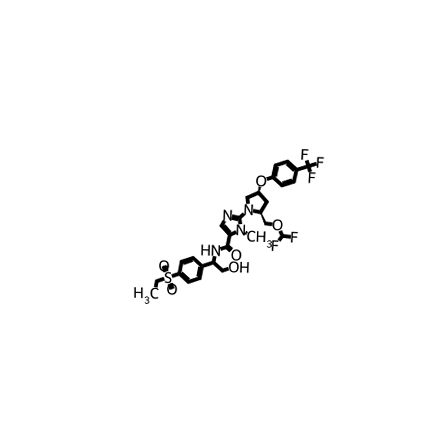 CCS(=O)(=O)c1ccc(C(CO)NC(=O)c2cnc(N3C[C@@H](Oc4ccc(C(F)(F)F)cc4)C[C@H]3COC(F)F)n2C)cc1